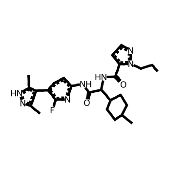 CCCn1nccc1C(=O)NC(C(=O)Nc1ccc(-c2c(C)n[nH]c2C)c(F)n1)C1CCC(C)CC1